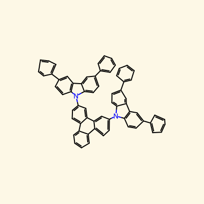 c1ccc(-c2ccc3c(c2)c2cc(-c4ccccc4)ccc2n3-c2ccc3c4ccccc4c4ccc(-n5c6ccc(-c7ccccc7)cc6c6cc(-c7ccccc7)ccc65)cc4c3c2)cc1